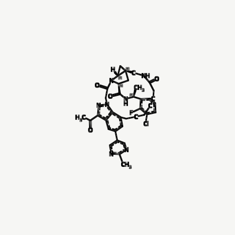 CC(=O)c1nn2c3c(cc(-c4cnc(C)nc4)cc13)CCCCCCC(=O)NC[C@@]13C[C@@H](C(=O)N[C@@H](C)c4cccc(Cl)c4F)N(C(=O)C2)[C@@H]1C3